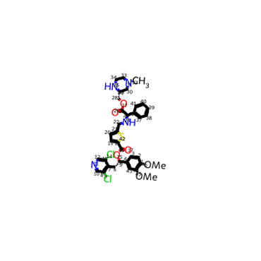 COc1ccc([C@H](Cc2c(Cl)cncc2Cl)OC(=O)c2ccc(CNC(C(=O)OC[C@H]3CN(C)CCN3)c3ccccc3)s2)cc1OC